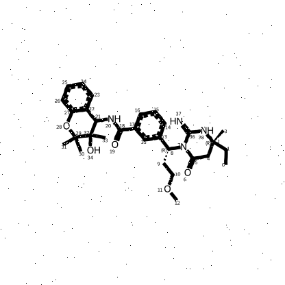 CC[C@]1(C)CC(=O)N([C@H](CCOC)c2cccc(C(=O)NC3c4ccccc4OC(C)(C)C3(C)O)c2)C(=N)N1